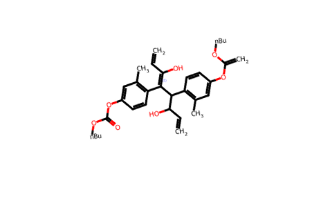 C=C/C(O)=C(\c1ccc(OC(=O)OCCCC)cc1C)C(c1ccc(OC(=C)OCCCC)cc1C)C(O)C=C